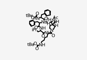 [2H]C1([2H])N(C(C)=O)C([2H])([2H])C12CCN(C(=O)C(CCCCNC(=O)OC(C)(C)C)NC(=O)C(CC(C)C)NC(=O)C(Cc1ccccc1)NC(=O)C(Cc1ccccc1)NC(=O)OC(C)(C)C)CC2